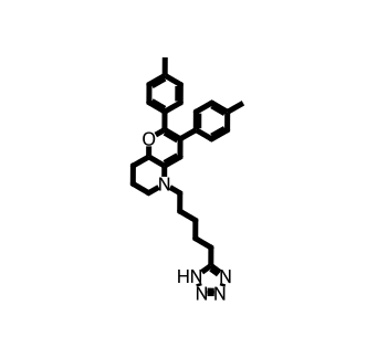 Cc1ccc(C2=C(c3ccc(C)cc3)OC3CCCN(CCCCCc4nnn[nH]4)C3=C2)cc1